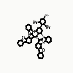 CC(C)c1cc(C(C)C)c(-c2cc3c4c(c2)-n2c5ccccc5n5c6c(ccc7c8ccccc8oc76)c(c25)B4c2c4ccc5c6ccccc6oc5c4n4c5ccccc5n-3c24)c(C(C)C)c1